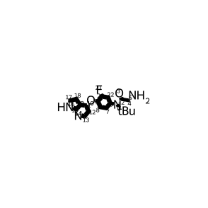 CC(C)(C)N(C(=O)CN)c1ccc(Oc2ccnc3[nH]ccc23)c(F)c1